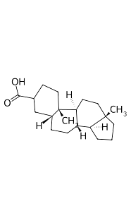 C[C@@]12CCC[C@H]1[C@@H]1CC[C@@H]3CC(C(=O)O)CC[C@]3(C)[C@H]1CC2